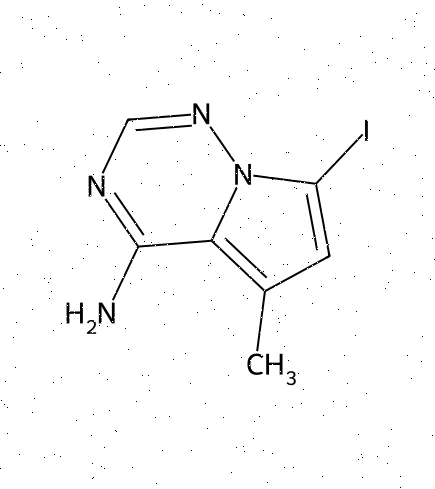 Cc1cc(I)n2ncnc(N)c12